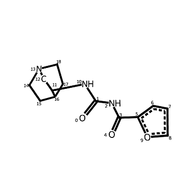 O=C(NC(=O)c1ccco1)NC1CN2CCC1CC2